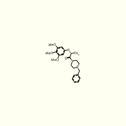 COc1cc(OC(C)C(=O)N2CCN(Cc3ccccc3)CC2)cc(OC)c1OC